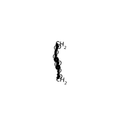 C=CC(=O)CCCOc1ccc(OC(=O)c2ccc(OCCOCCOC(=O)C=C)cc2)cc1